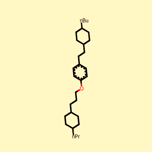 CCCCC1CCC(CCc2ccc(OCCCC3CCC(CCC)CC3)cc2)CC1